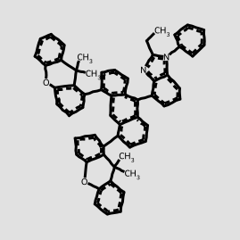 CCc1nc2c(-c3c4cccc(-c5cccc6c5C(C)(C)c5ccccc5O6)c4cc4c(-c5cccc6c5C(C)(C)c5ccccc5O6)cccc34)cccc2n1-c1ccccc1